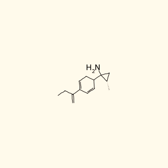 C=C(CC)C1=CCC(C2(N)C[C@@H]2C)C=C1